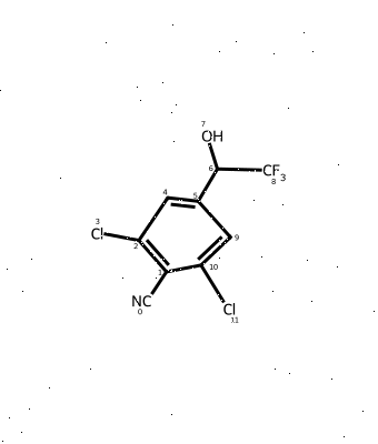 N#Cc1c(Cl)cc(C(O)C(F)(F)F)cc1Cl